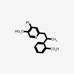 CC(C)c1cc(CC(C)c2ccccc2C(=O)O)ncc1C(=O)O